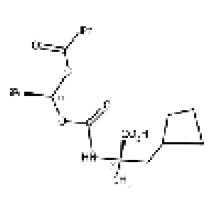 CC(C)C(=O)O[C@@H](OC(=O)N[C@@](C)(CC1CCC1)C(=O)O)C(C)C